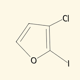 Clc1ccoc1I